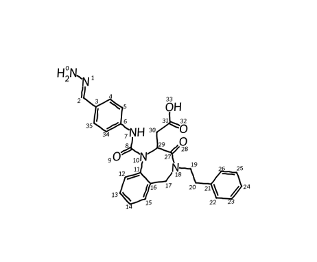 NN=Cc1ccc(NC(=O)N2c3ccccc3CN(CCc3ccccc3)C(=O)C2CC(=O)O)cc1